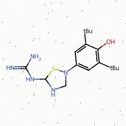 CC(C)(C)c1cc(N2CNC(NC(=N)N)S2)cc(C(C)(C)C)c1O